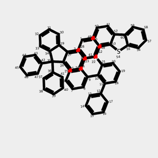 c1ccc(-c2ccccc2-c2c(-c3ccccc3)cccc2N(c2ccc3c(c2)-c2ccccc2C3(c2ccccc2)c2ccccc2)c2cccc3c2sc2ccccc23)cc1